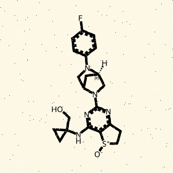 [O-][S+]1CCc2nc(N3C[C@H]4CC3CN4c3ccc(F)cc3)nc(NC3(CO)CC3)c21